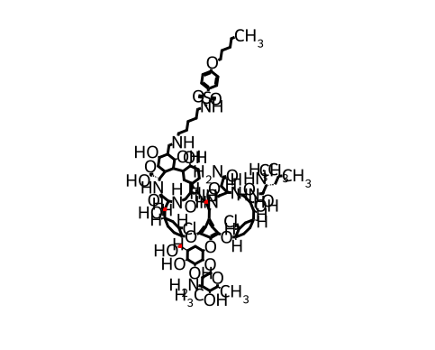 CCCCCOc1ccc(S(=O)(=O)NCCCCCNCC2[C@H](O)C3C4C[C@H](CC[C@H]4O)[C@H]4NC(=O)[C@@H]5NC(=O)[C@H](CC(N)=O)NC(=O)[C@H](NC(=O)[C@@H](CC(C)C)NC)[C@H](O)[C@H]6CC[C@@H](Oc7cc5cc(c7O[C@@H]5C[C@H](CO)[C@@H](O)[C@H](O)[C@H]5O[C@H]5C[C@](C)(N)[C@H](O)[C@H](C)O5)O[C@@H]5CC[C@@H](C[C@@H]5Cl)[C@@H](O)[C@H](NC4=O)C(=O)N[C@H](C(=O)O)C3C[C@@H]2O)[C@H](Cl)C6)cc1